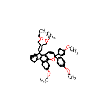 CCOCCCC1(CCCOCC)c2ccccc2-c2c1c1c(c3cc(OC)ccc23)OC(c2ccc(OC)cc2)(c2ccc(OC)cc2)C=C1